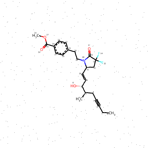 CCC#CC[C@@H](C)[C@H](O)C=CC1CC(F)(F)C(=O)N1CCc1ccc(C(=O)OC)cc1